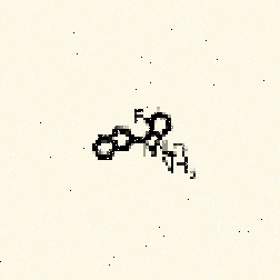 NC(=O)n1nc(-c2ccc3ccccc3c2)c2c(F)[c]ccc21